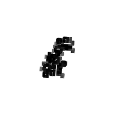 CC1OCC2(CCN(c3cc(C(N)=O)c(Sc4cccc(Cl)c4Cl)c4ncnn34)CC2)[C@@H]1N